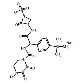 CCN1CCN(C(=O)NC(C(=O)NC2CN(S(=O)(=O)[O-])C2=O)c2ccc([Si](C)(C)C)cc2)C(=O)C1=O.[Na+]